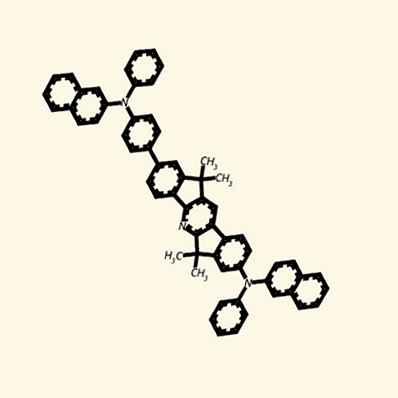 CC1(C)c2cc(-c3ccc(N(c4ccccc4)c4ccc5ccccc5c4)cc3)ccc2-c2nc3c(cc21)-c1ccc(N(c2ccccc2)c2ccc4ccccc4c2)cc1C3(C)C